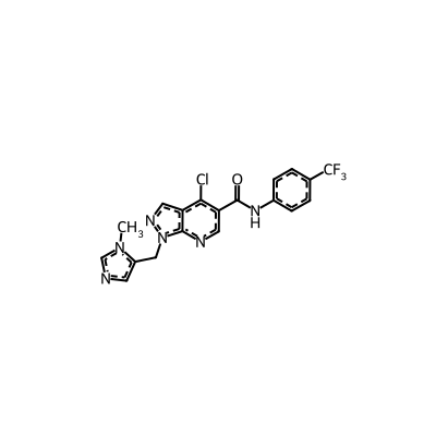 Cn1cncc1Cn1ncc2c(Cl)c(C(=O)Nc3ccc(C(F)(F)F)cc3)cnc21